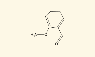 NOc1ccccc1C=O